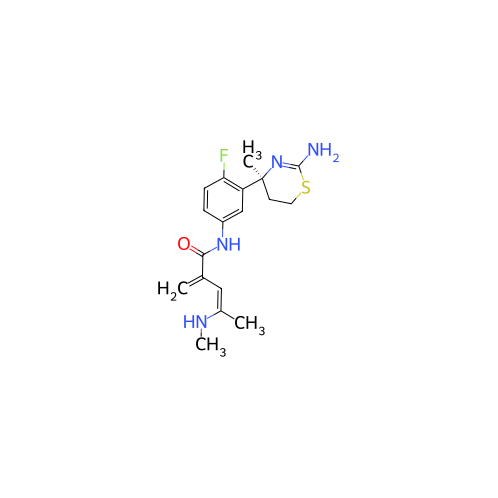 C=C(/C=C(/C)NC)C(=O)Nc1ccc(F)c([C@]2(C)CCSC(N)=N2)c1